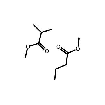 CCCC(=O)OC.COC(=O)C(C)C